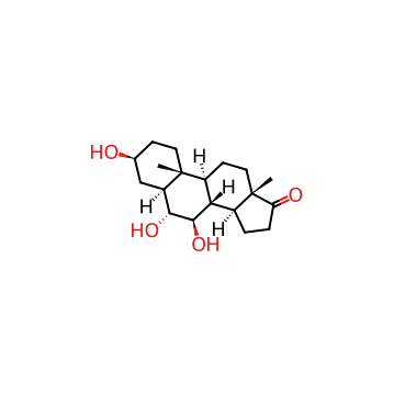 C[C@]12CC[C@H](O)C[C@@H]1[C@@H](O)[C@H](O)[C@@H]1[C@@H]2CC[C@]2(C)C(=O)CC[C@@H]12